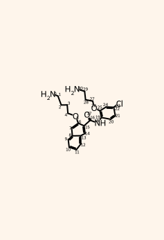 NCCCCOc1cc2ccccc2cc1C(=O)Nc1ccc(Cl)cc1OCCCN